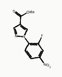 COC(=O)c1cnn(-c2ccc([N+](=O)[O-])cc2F)c1